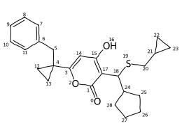 O=c1oc(C2(Cc3ccccc3)CC2)cc(O)c1C(SCC1CC1)C1CCCC1